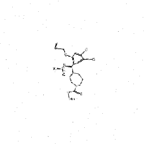 C=CCOc1cc(Cl)c(Cl)cc1C(=N[S@@+]([O-])C(C)(C)C)C1CCCN(C(=O)OC(C)(C)C)CC1